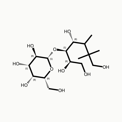 CC([C@@H](O)[C@H](O[C@@H]1O[C@H](CO)[C@H](O)[C@H](O)[C@H]1O)[C@H](O)CO)C(C)(C)CO